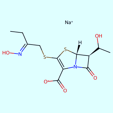 CCC(CSC1=C(C(=O)[O-])N2C(=O)[C@H](C(C)O)[C@H]2S1)=NO.[Na+]